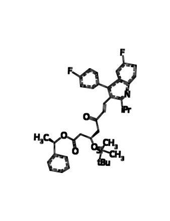 CC(C)c1nc2ccc(F)cc2c(-c2ccc(F)cc2)c1C=CC(=O)C[C@H](CC(=O)O[C@H](C)c1ccccc1)O[Si](C)(C)C(C)(C)C